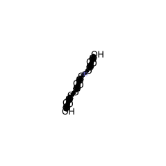 O=S(=O)(c1ccc(O)cc1)c1ccc(OC/C=C/COc2ccc(S(=O)(=O)c3ccc(OCCOc4ccc(S(=O)(=O)c5ccc(O)cc5)cc4)cc3)cc2)cc1